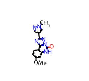 COc1ccc2c(c1)[nH]c(=O)n1nc(-c3cnn(C)c3)nc21